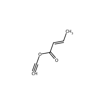 C#COC(=O)/C=C/C